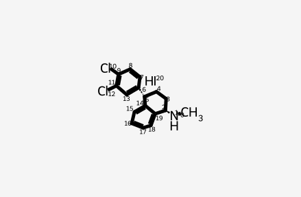 CN[C@H]1CC[C@@H](c2ccc(Cl)c(Cl)c2)c2ccccc21.I